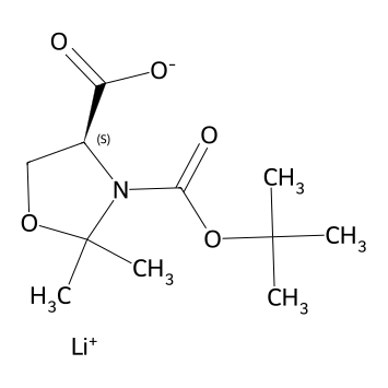 CC(C)(C)OC(=O)N1[C@H](C(=O)[O-])COC1(C)C.[Li+]